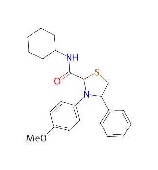 COc1ccc(N2C(C(=O)NC3CCCCC3)SCC2c2ccccc2)cc1